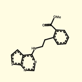 COC(=O)c1ccccc1CCNc1ncnc2sccc12